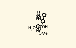 COc1cn2c([C@H](O)c3ccc(-c4ccccc4-c4nnn[nH]4)cc3)ccc(C)c2n1